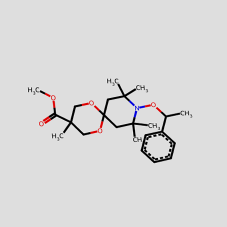 COC(=O)C1(C)COC2(CC(C)(C)N(OC(C)c3ccccc3)C(C)(C)C2)OC1